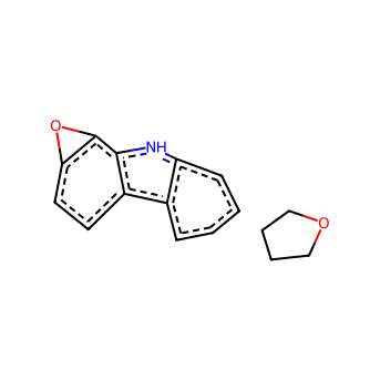 C1CCOC1.c1ccc2c(c1)[nH]c1c3c(ccc12)O3